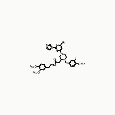 COc1ccc(CN2CCN(c3cc(C(C)C)nc(-n4ccnc4)n3)CC2CC(=O)NCCc2ccc(OC)c(OC)c2)cc1F